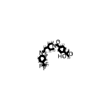 O=C(c1ccc(C2(O)COC2)cc1)N1CCC(Cc2nc3ccc(C(F)(F)F)cc3s2)CC1